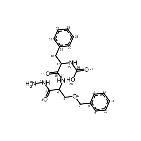 NNC(=O)C(COCc1ccccc1)NC(=O)C(Cc1ccccc1)NC(=O)O